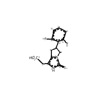 O=C(O)Cc1[nH]c(=S)n2c1CC(c1c(F)cccc1F)C2